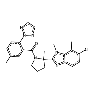 Cc1ccc(-n2nccn2)c(C(=O)N2CCCC2(C)c2nc3ccc(Cl)c(C)c3n2C)c1